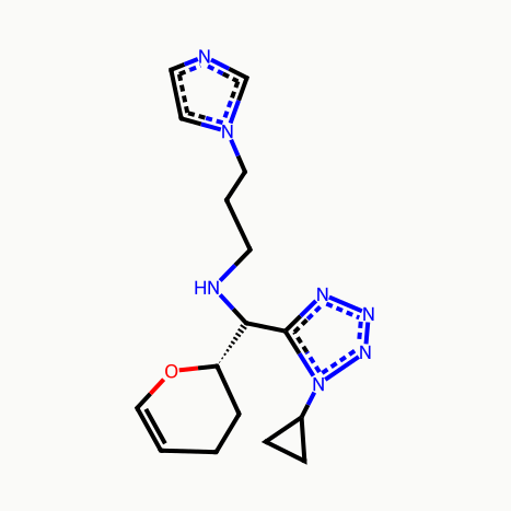 C1=CO[C@H](C(NCCCn2ccnc2)c2nnnn2C2CC2)CC1